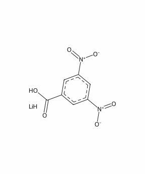 O=C(O)c1cc([N+](=O)[O-])cc([N+](=O)[O-])c1.[LiH]